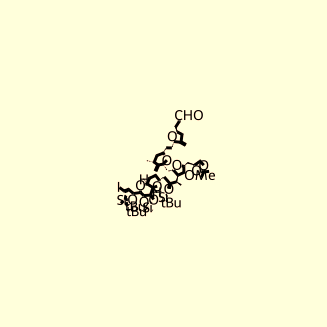 C=C1C[C@H](CCC=O)O[C@H]1CC[C@H]1C[C@@H](C)C(=C)[C@@H](C[C@@H]2O[C@H](C[C@H]3COC(C)(C)O3)[C@H](OC)[C@H]2[C@@H](C)C(=O)C[C@H]2CC[C@@H]3OC(C(/C=C/I)O[Si](C)(C)C(C)(C)C)C(O[Si](C)(C)C(C)(C)C)C(O[Si](C)(C)C(C)(C)C)[C@H]3O2)O1